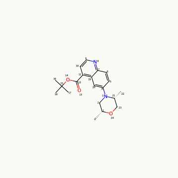 C[C@@H]1CN(c2ccc3nccc(C(=O)OC(C)(C)C)c3c2)[C@H](C)CO1